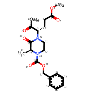 COC(=O)[C@H](CCC(=O)OC(C)(C)C)N1CCN(C(=O)OCc2ccccc2)[C@@H](C)C1=O